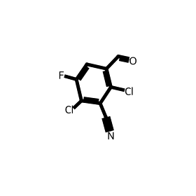 N#Cc1c(Cl)c(F)cc(C=O)c1Cl